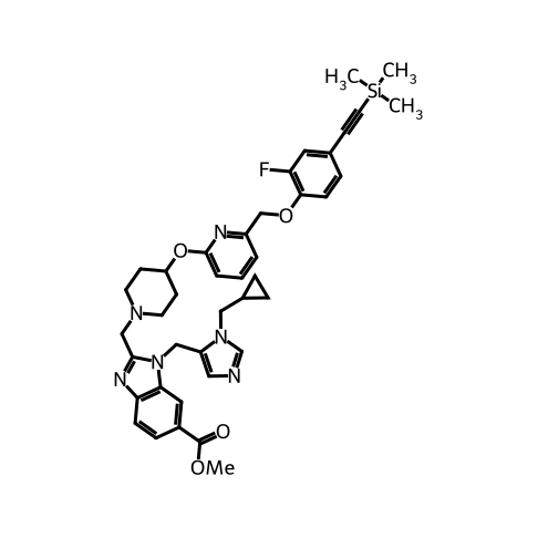 COC(=O)c1ccc2nc(CN3CCC(Oc4cccc(COc5ccc(C#C[Si](C)(C)C)cc5F)n4)CC3)n(Cc3cncn3CC3CC3)c2c1